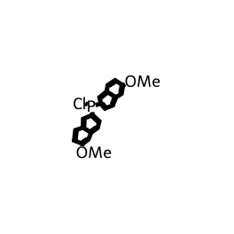 COc1ccc2cc(P(Cl)c3ccc4cc(OC)ccc4c3)ccc2c1